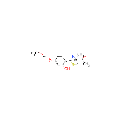 COCCOc1ccc(C2=N[C@@](C)(C(C)=O)CS2)c(O)c1